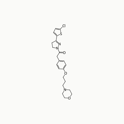 O=C(Cc1ccc(OCCCN2CCOCC2)cc1)N1CCC(c2ccc(Cl)s2)=N1